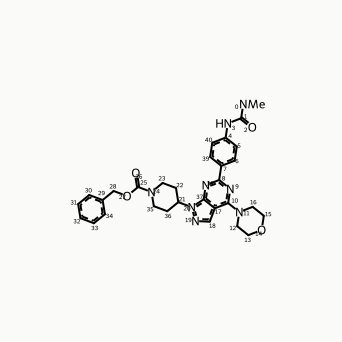 CNC(=O)Nc1ccc(-c2nc(N3CCOCC3)c3cnn(C4CCN(C(=O)OCc5ccccc5)CC4)c3n2)cc1